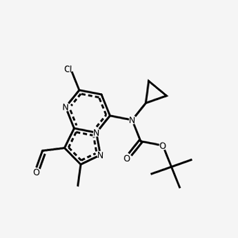 Cc1nn2c(N(C(=O)OC(C)(C)C)C3CC3)cc(Cl)nc2c1C=O